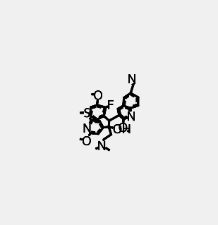 COc1cc(C(O)(CCN(C)C)C(c2cc3cc(C#N)ccc3nc2OC)c2cccc(OC)c2F)cc(SC)n1